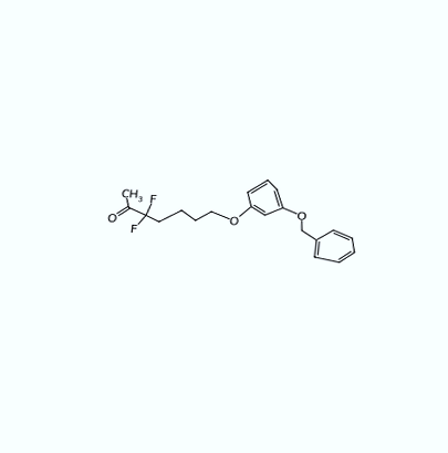 CC(=O)C(F)(F)CCCCOc1cccc(OCc2ccccc2)c1